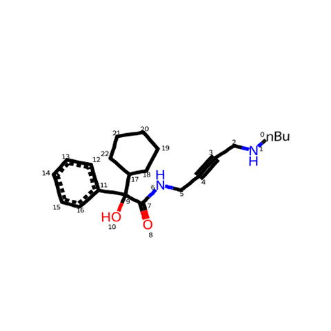 CCCCNCC#CCNC(=O)C(O)(c1ccccc1)C1CCCCC1